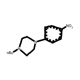 CCCCN1CCN(c2ccc([N+](=O)[O-])cc2)CC1